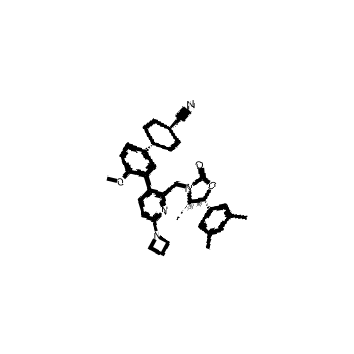 COc1ccc([C@H]2CC[C@H](C#N)CC2)cc1-c1ccc(N2CCC2)nc1CN1C(=O)O[C@H](c2cc(C)cc(C)c2)[C@@H]1C